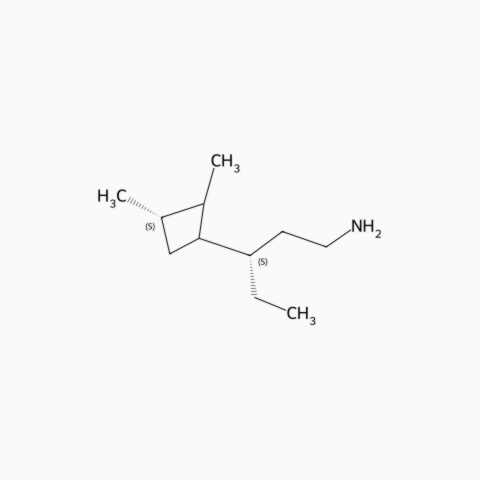 CC[C@@H](CCN)C1C[C@H](C)C1C